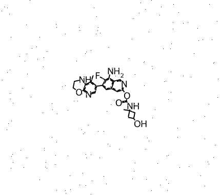 Cc1c(-c2cc3cc(OC(=O)NC4(C)CC(O)C4)ncc3c(N)c2F)cnc2c1NCCO2